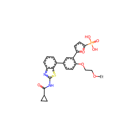 CCOCCOc1ccc(-c2cccc3nc(NC(=O)C4CC4)sc23)cc1-c1ccc(P(=O)(O)O)o1